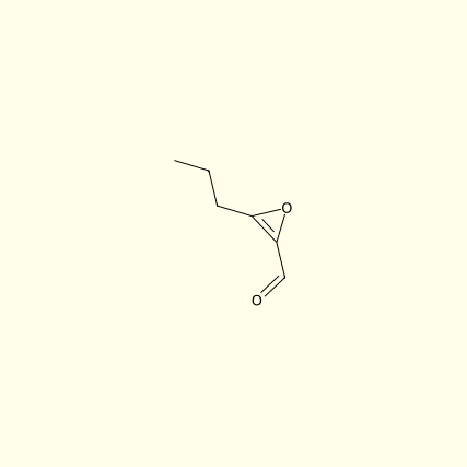 CCCC1=C(C=O)O1